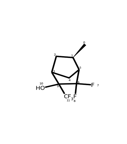 C[C@@H]1CC2CC1C(F)(F)C2(O)C(F)(F)F